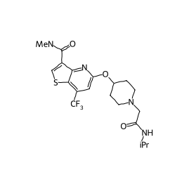 CNC(=O)c1csc2c(C(F)(F)F)cc(OC3CCN(CC(=O)NC(C)C)CC3)nc12